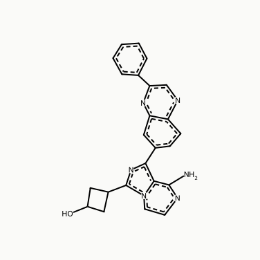 Nc1nccn2c(C3CC(O)C3)nc(-c3ccc4ncc(-c5ccccc5)nc4c3)c12